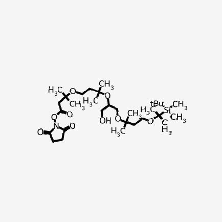 CC(C)(CCOC(C)(C)[Si](C)(C)C(C)(C)C)OCC(CO)OC(C)(C)CCOC(C)(C)CC(=O)ON1C(=O)CCC1=O